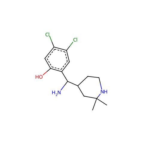 CC1(C)CC(C(N)c2cc(Cl)c(Cl)cc2O)CCN1